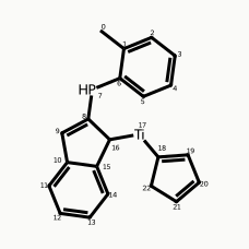 Cc1ccccc1PC1=Cc2ccccc2[CH]1[Ti][C]1=CC=CC1